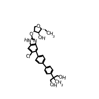 CC[C@H]1OC[C@@H](Oc2nc3cc(-c4ccc(-c5ccc(C(C)(CO)CO)cc5)cc4)c(Cl)cc3[nH]2)[C@@H]1O